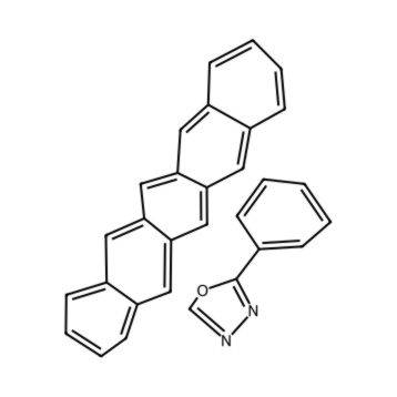 c1ccc(-c2nnco2)cc1.c1ccc2cc3cc4cc5ccccc5cc4cc3cc2c1